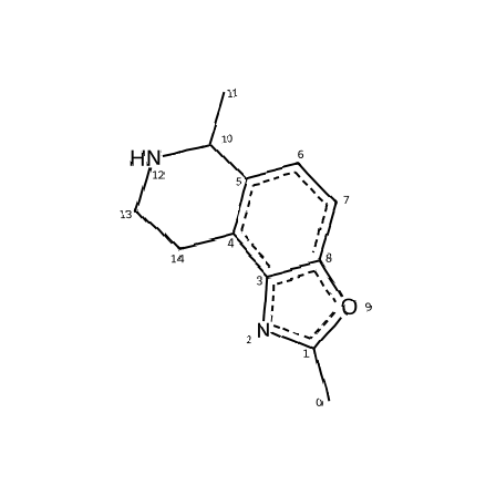 Cc1nc2c3c(ccc2o1)C(C)NCC3